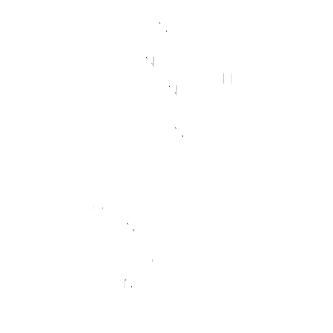 Cc1csc2ncnc(N3CCN(Cc4ccc5c(c4)CN(C4CCC(=O)NC4=O)C5=O)CC3)c12